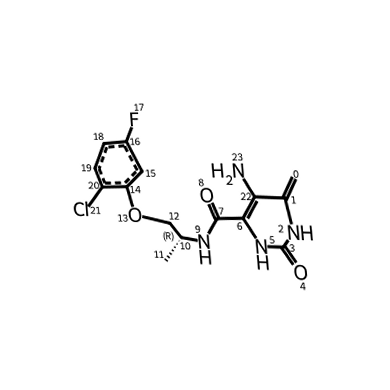 C=C1NC(=O)NC(C(=O)N[C@H](C)COc2cc(F)ccc2Cl)=C1N